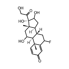 C[C@]12C=CC(=O)C=C1C(F)C[C@@H]1[C@@H]2C(O)C[C@@]2(C)[C@H]1CC(O)[C@]2(O)C(=O)CO